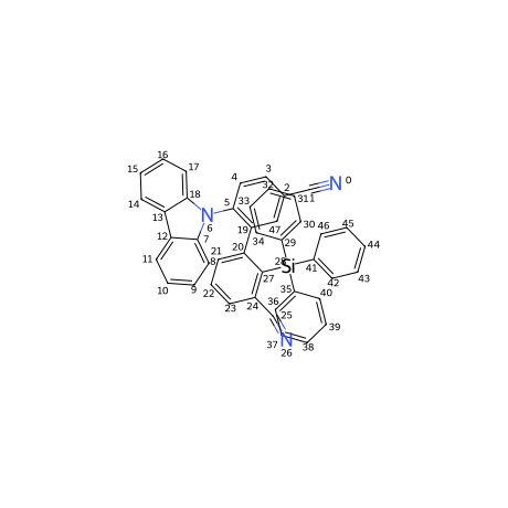 N#Cc1ccc(-n2c3ccccc3c3ccccc32)c(-c2cccc(C#N)c2[Si](c2ccccc2)(c2ccccc2)c2ccccc2)c1